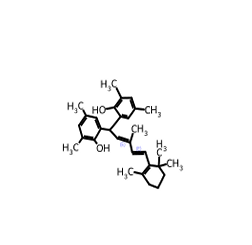 CC1=C(/C=C/C(C)=C/C(c2cc(C)cc(C)c2O)c2cc(C)cc(C)c2O)C(C)(C)CCC1